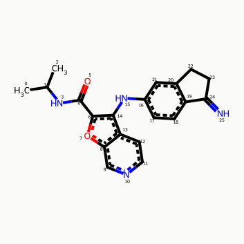 CC(C)NC(=O)c1oc2cnccc2c1Nc1ccc2c(c1)CCC2=N